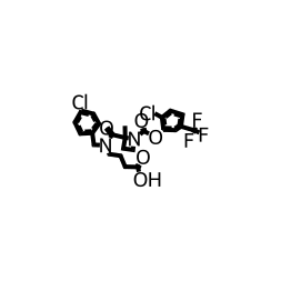 CC1(C(=O)N(CCCC(=O)O)Cc2ccc(Cl)cc2)CCN1C(=O)Oc1cc(C(F)(F)F)ccc1Cl